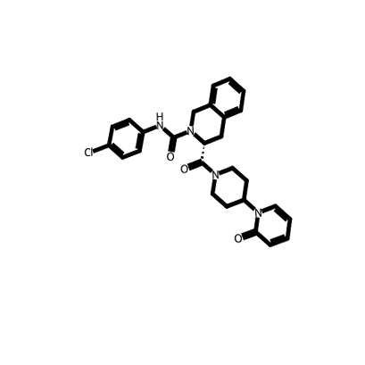 O=C([C@H]1Cc2ccccc2CN1C(=O)Nc1ccc(Cl)cc1)N1CCC(n2ccccc2=O)CC1